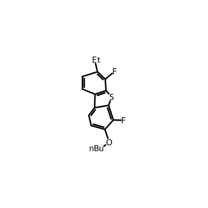 CCCCOc1ccc2c(sc3c(F)c(CC)ccc32)c1F